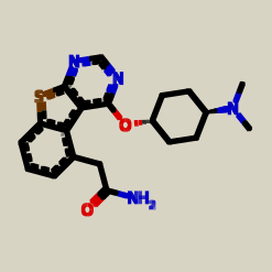 CN(C)[C@H]1CC[C@H](Oc2ncnc3sc4cccc(CC(N)=O)c4c23)CC1